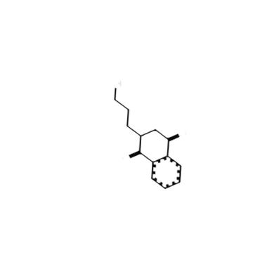 O=C1C[C](CCCO)C(=O)c2ccccc21